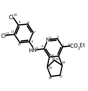 CCOC(=O)c1cnc(Nc2ccc(Cl)c(Cl)c2)c2c1C1CCC2C1